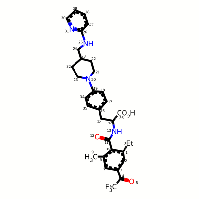 CCc1cc(C(=O)C(F)(F)F)cc(C)c1C(=O)NC(Cc1ccc(N2CCC(CNc3ccccn3)CC2)cc1)C(=O)O